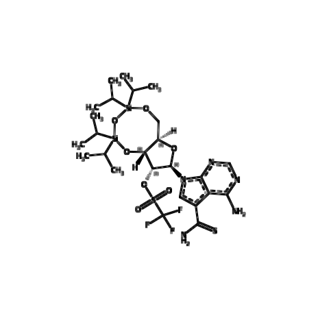 CC(C)[Si]1(C(C)C)OC[C@H]2O[C@@H](n3cc(C(N)=S)c4c(N)ncnc43)[C@H](OS(=O)(=O)C(F)(F)F)[C@@H]2O[Si](C(C)C)(C(C)C)O1